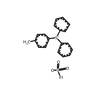 CCS(=O)(=O)[O-].Cc1ccc([S+](c2ccccc2)c2ccccc2)cc1